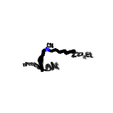 CCCCCC(C)(CCCN(C#N)CCCCCCC(=O)OCC)OC(C)=O